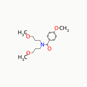 COCCCN(CCCOC)C(=O)c1ccc(OC)cc1